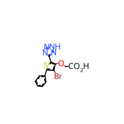 O=C(O)COc1c(-c2nn[nH]n2)sc(-c2ccccc2)c1Br